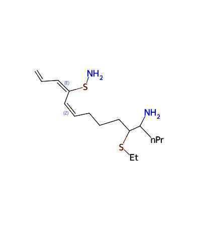 C=C/C=C(\C=C/CCCC(SCC)C(N)CCC)SN